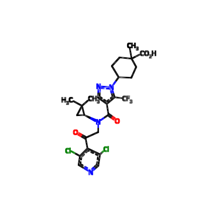 CC1(C(=O)O)CCC(n2ncc(C(=O)N(CC(=O)c3c(Cl)cncc3Cl)[C@H]3CC3(C)C)c2C(F)(F)F)CC1